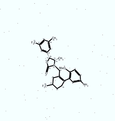 COc1ccc(N)cc1C1=C(CN2C(=O)O[C@H](c3cc(C)cc(C(F)(F)F)c3)[C@@H]2C)CC(C(F)(F)F)CC1